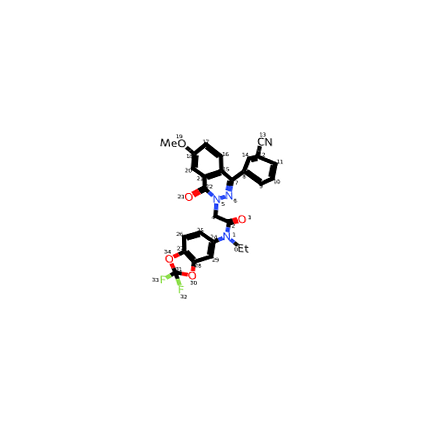 CCN(C(=O)Cn1nc(-c2cccc(C#N)c2)c2ccc(OC)cc2c1=O)c1ccc2c(c1)OC(F)(F)O2